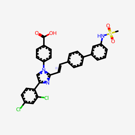 CS(=O)(=O)Nc1cccc(-c2ccc(/C=C/c3nc(-c4ccc(Cl)cc4Cl)cn3-c3ccc(C(=O)O)cc3)cc2)c1